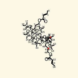 CC=CC(=O)OCCC[Si](O[Si](C)(C)C)(O[Si](C)(C)C)O[Si](O[Si](C)(C)C)(O[Si](C)(C)C)O[Si](O[Si](C)(C)C)(O[Si](C)(C)C)O[Si](CCCOC(=O)C=CC)(O[Si](C)(C)C)O[Si](C)(C)C